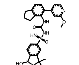 COc1cc(-c2ccc3c(c2NC(=O)NS(=N)(=O)c2ccc4c(c2)C(C)(C)OB4O)CCC3)ccn1